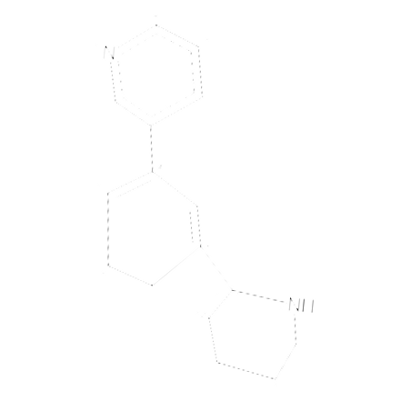 C[C@@]1(C2=CC(c3cccnc3)=CC[CH]2)CCCCN1